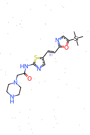 C[Si](C)(C)c1cnc(/C=C/c2cnc(NC(=O)CN3CCNCC3)s2)o1